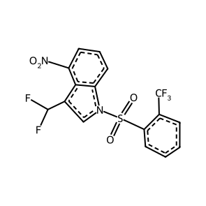 O=[N+]([O-])c1cccc2c1c(C(F)F)cn2S(=O)(=O)c1ccccc1C(F)(F)F